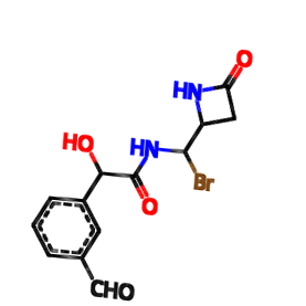 O=Cc1cccc(C(O)C(=O)NC(Br)C2CC(=O)N2)c1